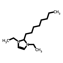 CCCCCCCCC1N(CC)C=CN1CC